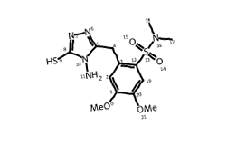 COc1cc(Cc2nnc(S)n2N)c(S(=O)(=O)N(C)C)cc1OC